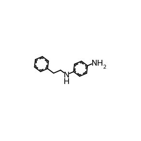 Nc1ccc(NCCc2ccccc2)cc1